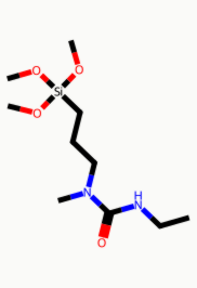 CCNC(=O)N(C)CCC[Si](OC)(OC)OC